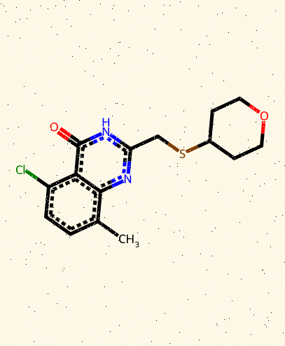 Cc1ccc(Cl)c2c(=O)[nH]c(CSC3CCOCC3)nc12